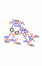 COC(=O)[C@@H]1Cc2ccc(OCCNC(=O)OC(C)(C)C)c(c2)-c2cc(ccc2OCCNC(=O)OC(C)(C)C)[C@H](N(C)C(=O)[C@H](CCCCNC(=O)OC(C)(C)C)NS(=O)(=O)CCN(C)C(=O)OC(C)(C)C)C(=O)N[C@@H](C)C(=O)N1